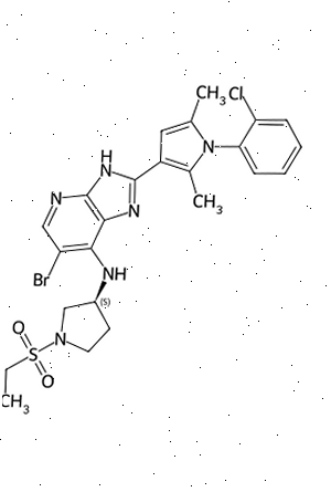 CCS(=O)(=O)N1CC[C@H](Nc2c(Br)cnc3[nH]c(-c4cc(C)n(-c5ccccc5Cl)c4C)nc23)C1